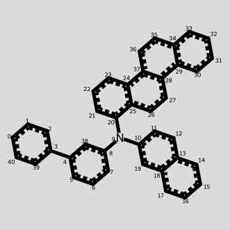 c1ccc(-c2cccc(N(c3ccc4ccccc4c3)c3cccc4c3ccc3c5ccccc5ccc43)c2)cc1